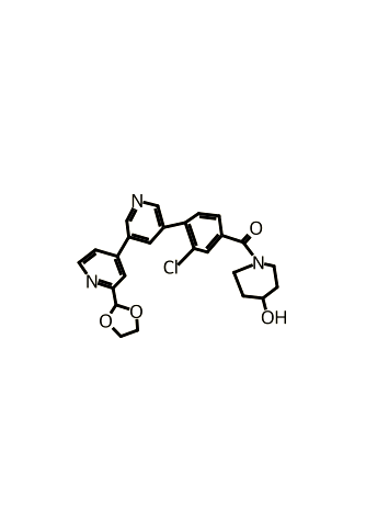 O=C(c1ccc(-c2cncc(-c3ccnc(C4OCCO4)c3)c2)c(Cl)c1)N1CCC(O)CC1